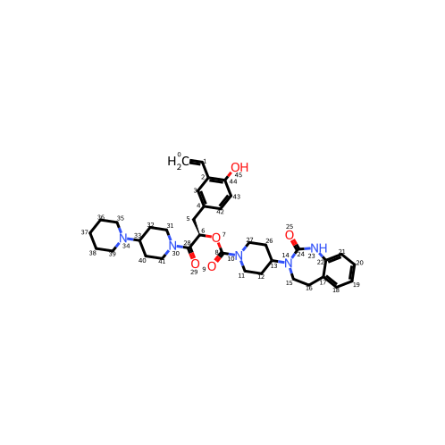 C=Cc1cc(C[C@@H](OC(=O)N2CCC(N3CCc4ccccc4NC3=O)CC2)C(=O)N2CCC(N3CCCCC3)CC2)ccc1O